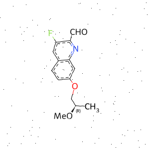 CO[C@H](C)COc1ccc2cc(F)c(C=O)nc2c1